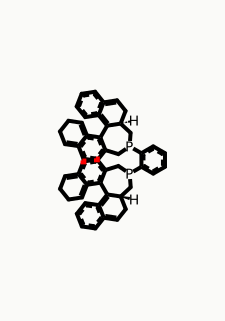 C1=c2ccccc2=C2c3c(ccc4c3=CCCC=4)CP(c3ccccc3P3Cc4ccc5c(c4C4=c6ccccc6=CC[C@H]4C3)=CCCC=5)C[C@@H]2C1